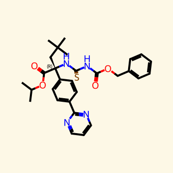 CC(C)OC(=O)[C@](CC(C)(C)C)(NC(=S)NC(=O)OCc1ccccc1)c1ccc(-c2ncccn2)cc1